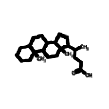 CC(CCC(=O)O)C1CCC2C3CCC4CCCCC4(C)C3CCC12C